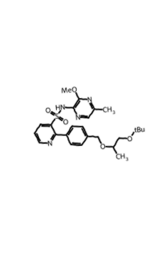 COc1nc(C)cnc1NS(=O)(=O)c1cccnc1-c1ccc(COC(C)COC(C)(C)C)cc1